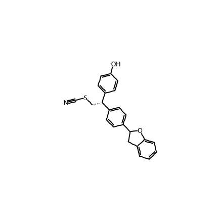 N#CSC[C@H](c1ccc(O)cc1)c1ccc(C2Cc3ccccc3O2)cc1